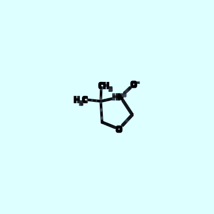 CC1(C)COC[NH+]1[O-]